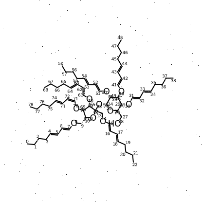 CCCCC=CC=COC[C@H]1O[C@@](COC=CC=CCCCC)(O[C@H]2O[C@H](CO)[C@@H](OC=CC=CCCCC)[C@H](OC=CC=CCCCC)[C@H]2OC=CC=CCCCC)[C@@H](OC=CC=CCCCC)[C@@H]1OC=CC=CCCCC